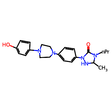 CCCN1C(=O)N(c2ccc(N3CCN(c4ccc(O)cc4)CC3)cc2)NC1C